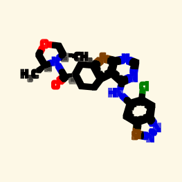 C[C@H]1COC[C@H](C)N1C(=O)[C@H]1CCc2c(sc3ncnc(Nc4cc5snnc5cc4Cl)c23)C1